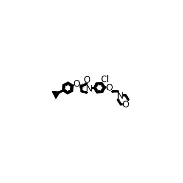 O=C1[C@@H](Oc2ccc(C3CC3)cc2)CCN1c1ccc(OCCN2CCOCC2)c(Cl)c1